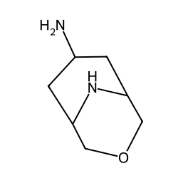 NC1CC2COCC(C1)N2